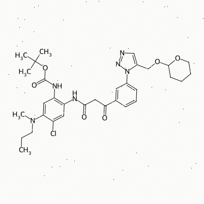 CCCN(C)c1cc(NC(=O)OC(C)(C)C)c(NC(=O)CC(=O)c2cccc(-n3nncc3COC3CCCCO3)c2)cc1Cl